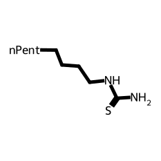 CCCCCCCCCNC(N)=S